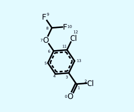 O=C(Cl)c1ccc(OC(F)F)c(Cl)c1